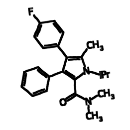 Cc1c(-c2ccc(F)cc2)c(-c2ccccc2)c(C(=O)N(C)C)n1C(C)C